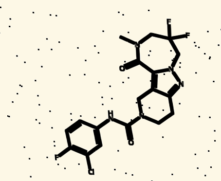 CN1CC(F)(F)Cn2nc3c(c2C1=O)CN(C(=O)Nc1ccc(F)c(Cl)c1)CC3